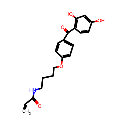 C=CC(=O)NCCCCOc1ccc(C(=O)c2ccc(O)cc2O)cc1